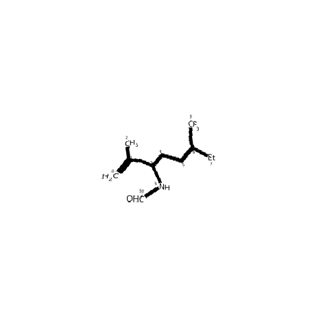 C=C(C)C(CCC(CC)C(F)(F)F)NC=O